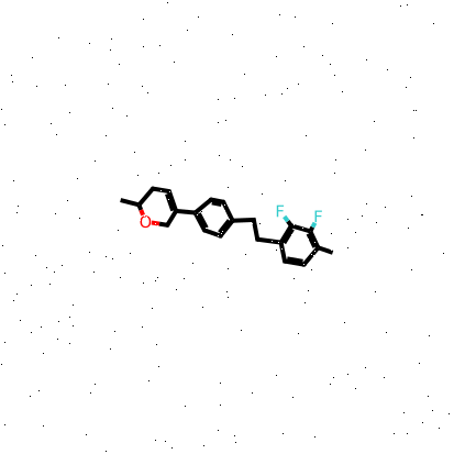 Cc1ccc(CCc2ccc(C3=CCC(C)OC3)cc2)c(F)c1F